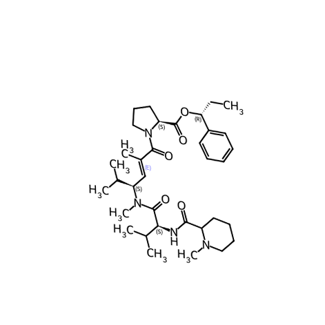 CC[C@@H](OC(=O)[C@@H]1CCCN1C(=O)/C(C)=C/[C@H](C(C)C)N(C)C(=O)[C@@H](NC(=O)C1CCCCN1C)C(C)C)c1ccccc1